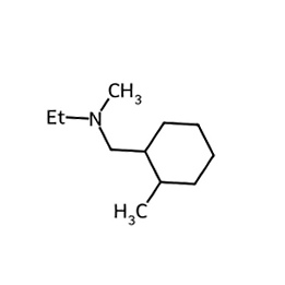 CCN(C)CC1CCCCC1C